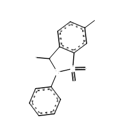 O=S1(=O)c2cc(C(F)(F)F)ccc2C(O)N1c1ccccc1